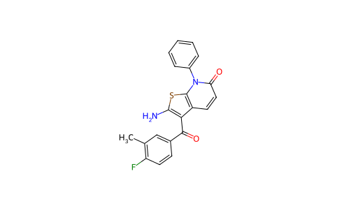 Cc1cc(C(=O)c2c(N)sc3c2ccc(=O)n3-c2ccccc2)ccc1F